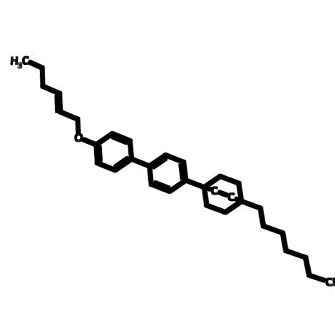 CCC/C=C/COc1ccc(-c2ccc(C34CCC(CCCCCCC)(CC3)CC4)cc2)cc1